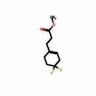 COC(=O)CCC1=CCC(F)(F)CC1